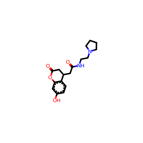 O=C(CC1CC(=O)Oc2cc(O)ccc21)NCCN1CCCC1